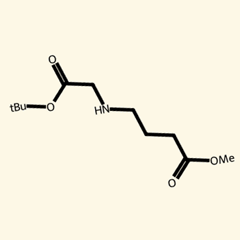 COC(=O)CCCNCC(=O)OC(C)(C)C